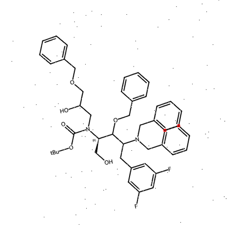 CC(C)(C)OC(=O)N(CC(O)COCc1ccccc1)[C@H](CO)C(OCc1ccccc1)C(Cc1cc(F)cc(F)c1)N(Cc1ccccc1)Cc1ccccc1